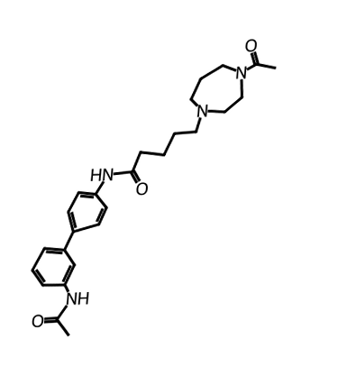 CC(=O)Nc1cccc(-c2ccc(NC(=O)CCCCN3CCCN(C(C)=O)CC3)cc2)c1